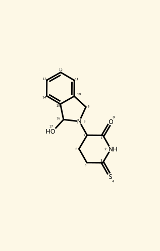 O=C1NC(=S)CCC1N1Cc2ccccc2C1O